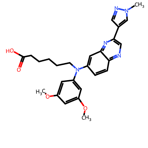 COc1cc(OC)cc(N(CCCCCC(=O)O)c2ccc3ncc(-c4cnn(C)c4)nc3c2)c1